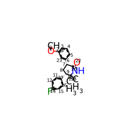 COc1cccc([C@H]2C[C@@H](c3ccc(F)cc3)C(C)(C)NC2=O)c1